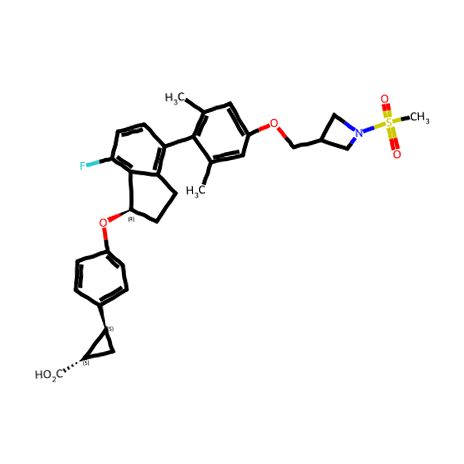 Cc1cc(OCC2CN(S(C)(=O)=O)C2)cc(C)c1-c1ccc(F)c2c1CC[C@H]2Oc1ccc([C@H]2C[C@@H]2C(=O)O)cc1